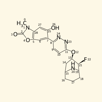 Cn1c(=O)oc2cc(-c3ccc(O[C@@H]4CC5CCCC(N5)[C@@H]4F)nn3)c(O)cc21